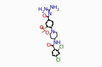 CS(=O)(=O)c1cc(C(=O)N=C(N)N)ccc1N1CCC(NC(=O)c2ccc(Cl)cc2Cl)CC1